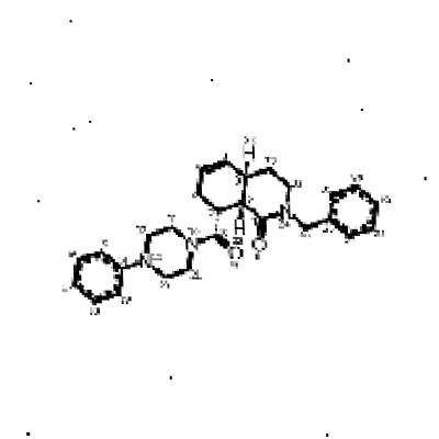 O=C1[C@H]2[C@H](C=CC[C@H]2C(=O)N2CCN(c3ccccc3)CC2)CCN1Cc1ccccc1